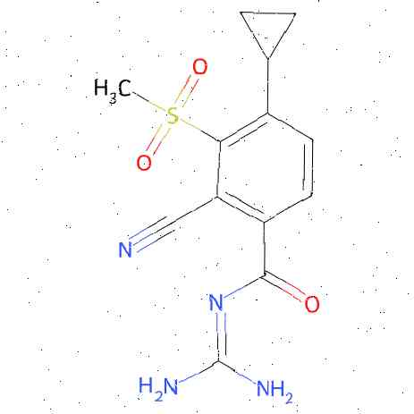 CS(=O)(=O)c1c(C2CC2)ccc(C(=O)N=C(N)N)c1C#N